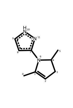 CC1=CCC(C)N1c1cc[nH]n1